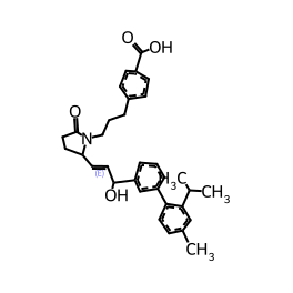 Cc1ccc(-c2cccc(C(O)/C=C/C3CCC(=O)N3CCCc3ccc(C(=O)O)cc3)c2)c(C(C)C)c1